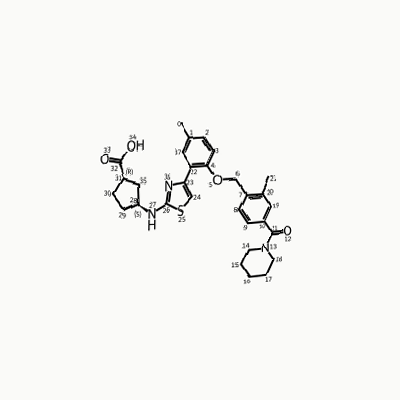 Cc1ccc(OCc2ccc(C(=O)N3CCCCC3)cc2C)c(-c2csc(N[C@H]3CC[C@@H](C(=O)O)C3)n2)c1